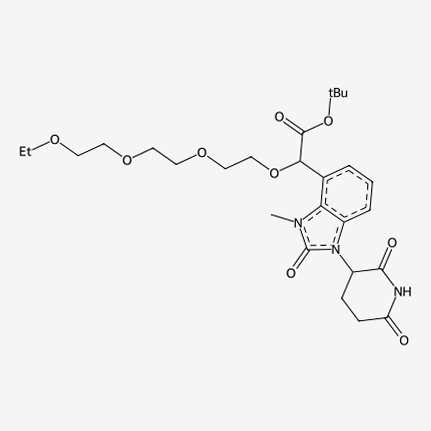 CCOCCOCCOCCOC(C(=O)OC(C)(C)C)c1cccc2c1n(C)c(=O)n2C1CCC(=O)NC1=O